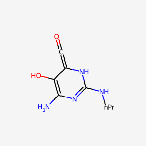 CCCNC1=NC(N)=C(O)C(=C=O)N1